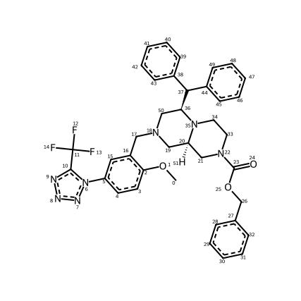 COc1ccc(-n2nnnc2C(F)(F)F)cc1CN1C[C@@H]2CN(C(=O)OCc3ccccc3)CCN2[C@H](C(c2ccccc2)c2ccccc2)C1